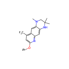 CC(C)Oc1cc(C(F)(F)F)c2cc3c(cc2n1)NC(C)(C)CN3C